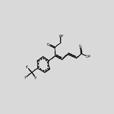 O=C(O)C=CC=C(C(=O)CBr)c1ccc(C(F)(F)F)cc1